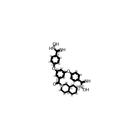 N=C(NO)c1ccc(Oc2cc(Oc3ccc(C(=N)NO)cc3)cc(C(=O)N3CCC4CCCCC4C3)c2)cc1